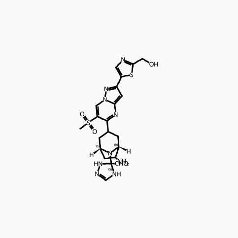 CS(=O)(=O)c1cn2nc(-c3cnc(CO)s3)cc2nc1C1C[C@H]2CC(N)[C@@H](C1)N2[C@]1(C=O)NC=NN1